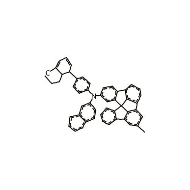 Cc1cc2c3c(c1)-c1cccc4c1C3(c1ccccc1-2)c1cc(N(c2ccc(C3C=CC=C5CCCCC53)cc2)c2ccc3ccccc3c2)ccc1-4